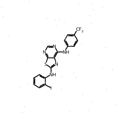 FC(F)(F)c1ccc(Nc2ncnc3sc(Nc4ccccc4I)nc23)cc1